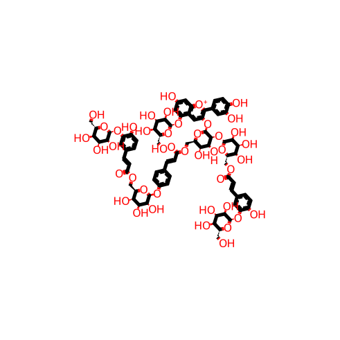 O=C(C=Cc1ccc(O)c(O[C@@H]2O[C@H](CO)[C@@H](O)[C@H](O)[C@H]2O)c1)OC[C@@H]1O[C@H](O[C@H]2[C@H](Oc3cc4c(O[C@@H]5O[C@H](CO)[C@@H](O)[C@H](O)[C@H]5O)cc(O)cc4[o+]c3-c3ccc(O)c(O)c3)O[C@H](COC(=O)/C=C/c3ccc(O[C@@H]4O[C@H](COC(=O)C=Cc5ccc(O)c(O[C@H]6O[C@@H](CO)[C@H](O)[C@@H](O)[C@@H]6O)c5)[C@@H](O)[C@H](O)[C@H]4O)cc3)[C@@H](O)[C@@H]2O)[C@@H](O)[C@H](O)[C@H]1O